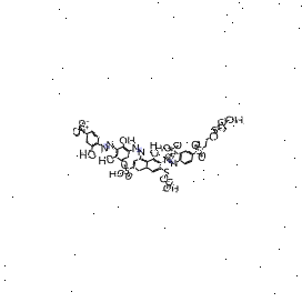 O=[N+]([O-])c1ccc(/N=N/c2c(O)ccc(/N=N\c3cc(S(=O)(=O)O)cc4cc(SOOO)c(/N=N/c5ccc(S(=O)(=O)CCOSOOO)cc5S(=O)(=O)O)c(O)c34)c2O)c(O)c1